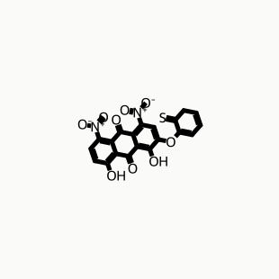 O=C1c2c([N+](=O)[O-])ccc(O)c2C(=O)c2c(O)c(OC3=CC=CCC3=S)cc([N+](=O)[O-])c21